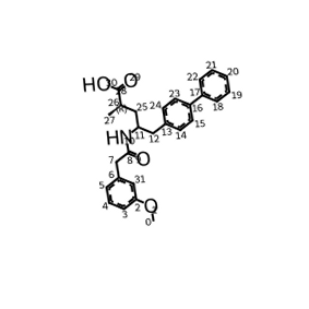 COc1cccc(CC(=O)NC(Cc2ccc(-c3ccccc3)cc2)C[C@@H](C)C(=O)O)c1